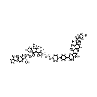 Cc1ncsc1-c1ccc([C@H](CO)NC(=O)[C@@H]2CCCN2C(=O)[C@H](c2cc(OCCCN3CCN(c4ccc(-c5cnc6[nH]cc(C(=O)c7c(F)ccc(NS(=O)(=O)N8CC[C@@H](F)C8)c7F)c6c5)cc4)CC3)no2)C(C)C)cc1